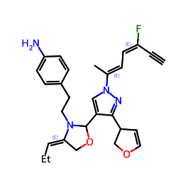 C#C/C(F)=C\C=C(/C)n1cc(C2OC/C(=C\CC)N2CCc2ccc(N)cc2)c(C2C=COC2)n1